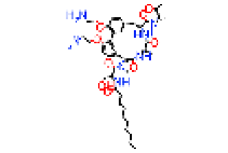 CCCCCCCCCC(=O)N[C@@H](CO)C(=O)N(C)[C@@H]1C(=O)N[C@@H](C)C(=O)N[C@H](C(=O)N[C@@H](C)C(C)=O)Cc2ccc(OCCN)c(c2)-c2cc1ccc2OCCN